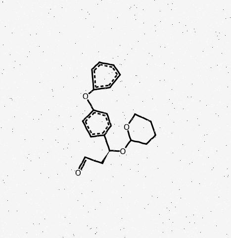 O=CC[C@H](OC1CCCCO1)c1ccc(Oc2ccccc2)cc1